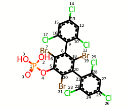 O=P(O)(O)Oc1c(Br)c(-c2c(Cl)cc(Cl)cc2Cl)c(Br)c(-c2c(Cl)cc(Cl)cc2Cl)c1Br